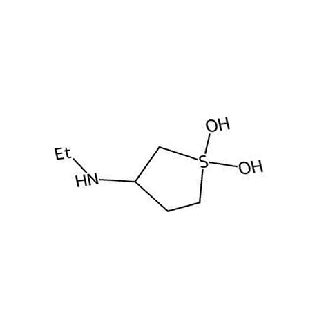 [CH2]CNC1CCS(O)(O)C1